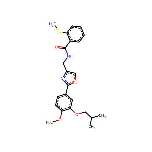 COc1ccc(-c2nc(CNC(=O)c3ccccc3SC)co2)cc1OCC(C)C